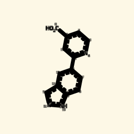 O=C(O)c1ccnc(-c2ccc3[nH]ncc3c2)c1